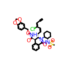 C#C/C=C(Cl)\C=C/C[C@H]1[C@H](C(=O)NOCc2ccc3c(c2)OCO3)c2ccccc2C(=O)N1[C@H]1CCCC[C@@H]1NS(C)(=O)=O